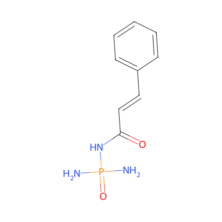 NP(N)(=O)NC(=O)/C=C/c1ccccc1